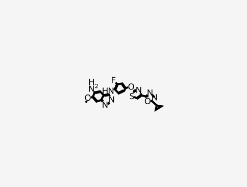 COc1cc2ncnc(Nc3ccc(Oc4nc(-c5nnc(C6CC6)o5)cs4)cc3F)c2cc1N